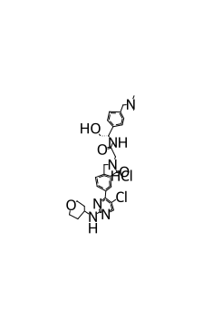 CN(C)Cc1ccc([C@@H](CO)NC(=O)CN2Cc3ccc(-c4nc(NC5CCOCC5)ncc4Cl)cc3C2=O)cc1.Cl